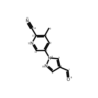 Cc1cc(-n2cc(C=O)cn2)cnc1C#N